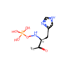 CCC(=O)[C@H](Cc1c[nH]cn1)NO[PH](O)(O)O